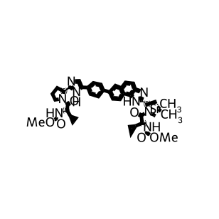 COC(=O)N[C@H](C(=O)N1CCC[C@H]1c1ncc(-c2ccc(-c3ccc4c(ccc5nc([C@@H]6C[Si](C)(C)CN6C(=O)[C@@H](NC(=O)OC)C6CC6)[nH]c54)c3)cc2)[nH]1)C1CC1